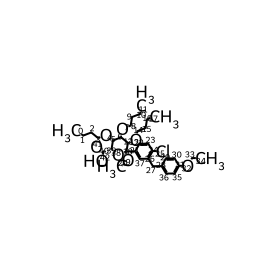 CCCCO[C@H]1[C@H](OCCCC)[C@@H](OCCCC)[C@](OC)(c2ccc(Cl)c(Cc3ccc(OCC)cc3)c2)O[C@@H]1C(=O)O